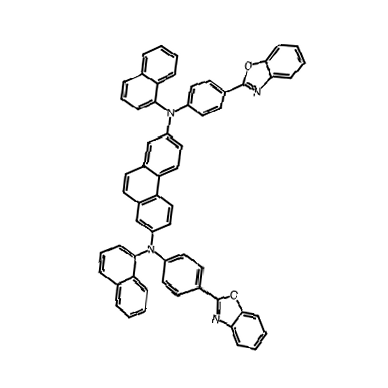 c1ccc2c(N(c3ccc(-c4nc5ccccc5o4)cc3)c3ccc4c(ccc5cc(N(c6ccc(-c7nc8ccccc8o7)cc6)c6cccc7ccccc67)ccc54)c3)cccc2c1